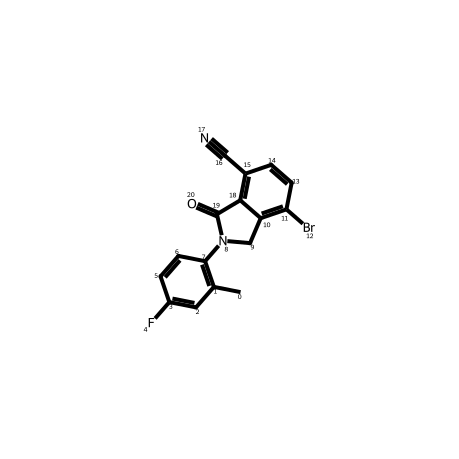 Cc1cc(F)ccc1N1Cc2c(Br)ccc(C#N)c2C1=O